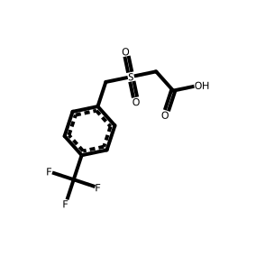 O=C(O)CS(=O)(=O)Cc1ccc(C(F)(F)F)cc1